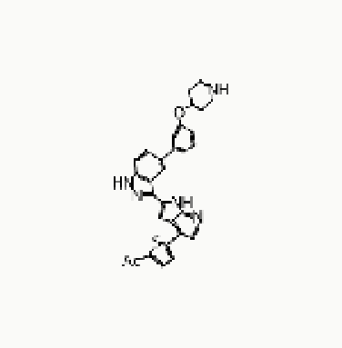 CC(=O)c1ccc(-c2ccnc3[nH]c(-c4n[nH]c5ccc(-c6cccc(OC7CCNCC7)c6)cc45)cc23)s1